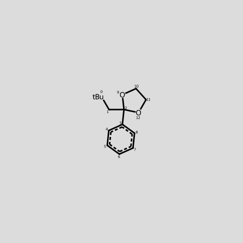 CC(C)(C)CC1(c2ccccc2)OCCO1